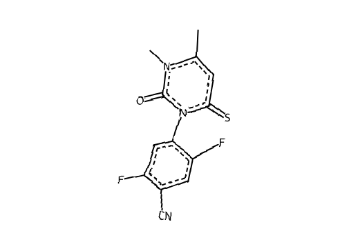 Cc1cc(=S)n(-c2cc(F)c(C#N)cc2F)c(=O)n1C